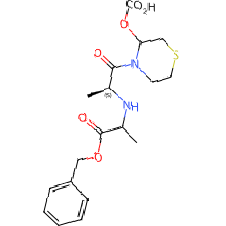 CC(N[C@@H](C)C(=O)N1CCSCC1OC(=O)O)C(=O)OCc1ccccc1